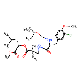 COC(=O)[C@H](CC(C)C)OC(=O)C(C)(C)CNC(=O)[C@@H](Cc1ccc(OC)c(Cl)c1)NCOC(C)C